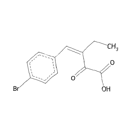 CCC(=Cc1ccc(Br)cc1)C(=O)C(=O)O